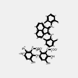 CC(C)c1ccc(C(C)C)c(OC(=O)[O-])c1O.CC(C)c1ccc(C(C)C)c(OC(=O)[O-])c1O.Cc1cccc(C)c1N=C1C(=Nc2c(C)cccc2C)c2cccc3cccc1c23.[Ni+2]